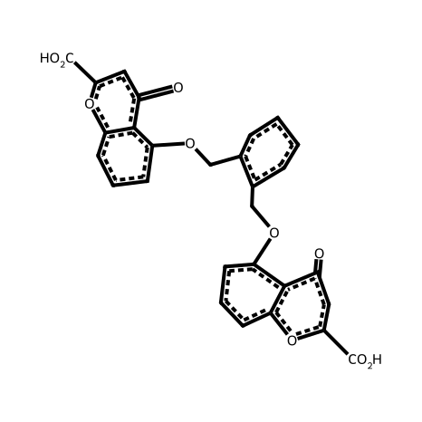 O=C(O)c1cc(=O)c2c(OCc3ccccc3COc3cccc4oc(C(=O)O)cc(=O)c34)cccc2o1